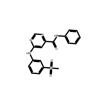 CS(=O)(=O)c1cccc(Nc2cc(C(=O)Nc3ccccc3)ncn2)c1